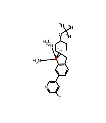 [2H]C([2H])([2H])O[C@H]1CC[C@@]2(Cc3ccc(-c4cncc(F)c4)cc3[C@]23N=C(N)OC3([2H])[2H])C[C@@H]1C